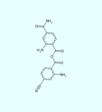 N#Cc1ccc(C(=O)OC(=O)c2ccc(C(N)=O)cc2N)c(N)c1